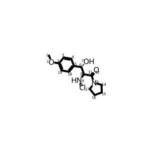 COc1ccc([C@H](O)C(NCl)C(=O)N2CCCC2)cc1